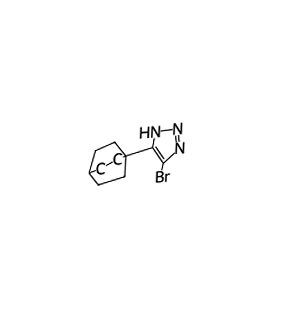 Brc1nn[nH]c1C12CCC(CC1)CC2